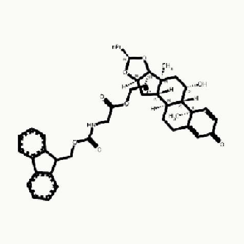 CCC[C@@H]1O[C@@H]2C[C@H]3[C@@H]4CCC5=CC(=O)C=C[C@]5(C)[C@H]4[C@@H](O)C[C@]3(C)[C@]2(C(=O)COC(=O)CNC(=O)OCC2c3ccccc3-c3ccccc32)O1